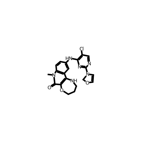 Cn1c(=O)c2c(c3cc(Nc4nc(N5C=COC5)ncc4Cl)ccc31)NCCCO2